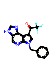 O=C(c1cn(Cc2ccccc2)c2ncc3[nH]cnc3c12)C(F)(F)F